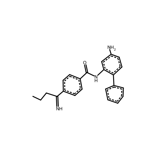 CCCC(=N)c1ccc(C(=O)Nc2cc(N)ccc2-c2ccccc2)cc1